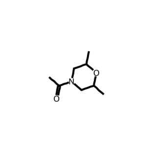 CC(=O)N1CC(C)OC(C)C1